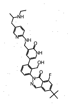 CCNC(C)Cc1ccc(NCc2cc(-c3cccc(-n4ncc5cc(C(C)(C)C)cc(F)c5c4=O)c3CO)c[nH]c2=O)nc1